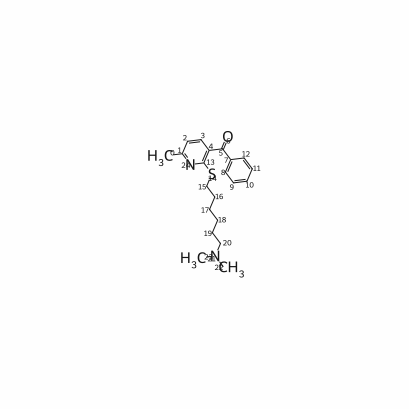 Cc1ccc(C(=O)c2ccccc2)c(SCCCCCCN(C)C)n1